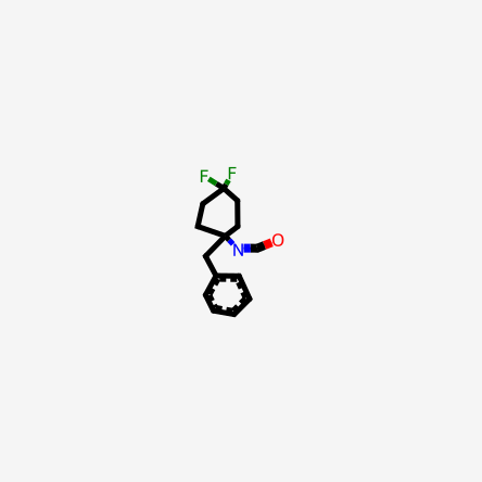 O=C=NC1(Cc2ccccc2)CCC(F)(F)CC1